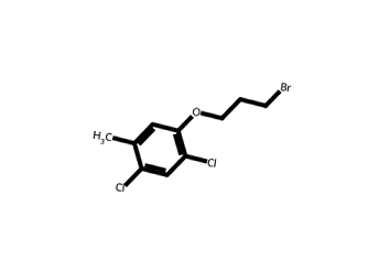 Cc1cc(OCCCBr)c(Cl)cc1Cl